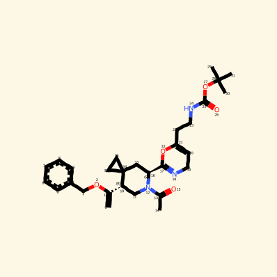 C=C(OCc1ccccc1)[C@H]1CN(C(C)=O)[C@H](C2=NCC=C(CCNC(=O)OC(C)(C)C)O2)CC12CC2